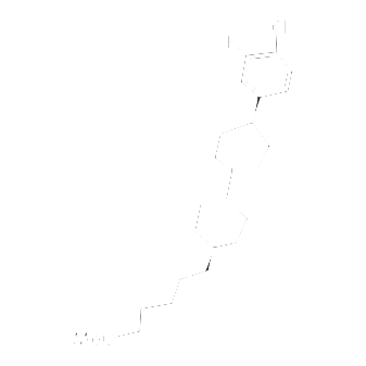 COCCCCC[C@H]1CC[C@H]([C@H]2CC[C@H](c3ccc(Cl)c(F)c3)CC2)CC1